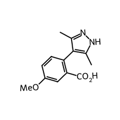 COc1ccc(-c2c(C)n[nH]c2C)c(C(=O)O)c1